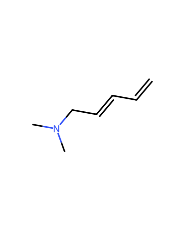 C=CC=CCN(C)C